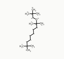 CC(C)(C)CCCCCCC(C)(C)OCC(C)(C)C